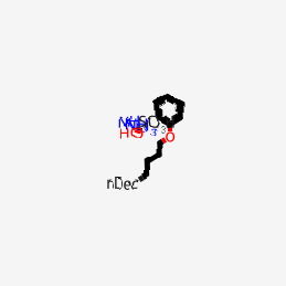 CCCCCCCCCCCCCCOc1ccccc1.N.N.O=S(=O)(O)O